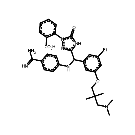 CCc1cc(OCC(C)(C)CN(C)C)cc(C(Nc2ccc(C(=N)N)cc2)c2nn(-c3ccccc3C(=O)O)c(=O)[nH]2)c1